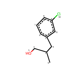 CC(CO)Cc1cccc(Cl)c1